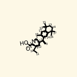 C=C(c1cnc(C(=O)O)c(CC)c1)c1cc2c(cc1C)C(C)(C)CCC2(C)C